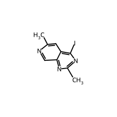 Cc1cc2c(I)nc(C)nc2cn1